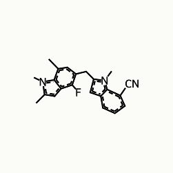 Cc1cc(Cc2cc3cccc(C#N)c3n2C)c(F)c2cc(C)n(C)c12